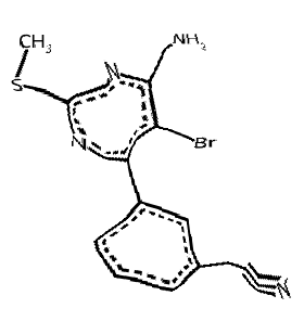 CSc1nc(N)c(Br)c(-c2cccc(C#N)c2)n1